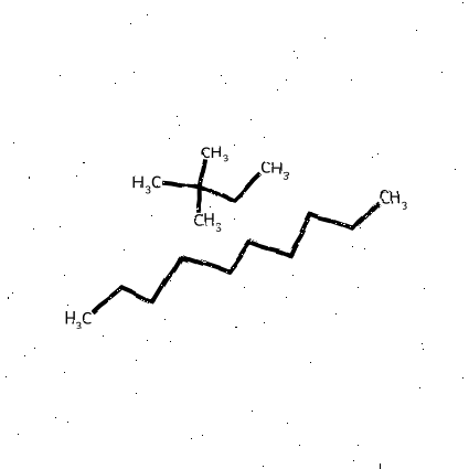 CCC(C)(C)C.CCCCCCCCCC